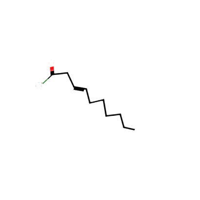 CCCCCCC=CCC(=O)Cl